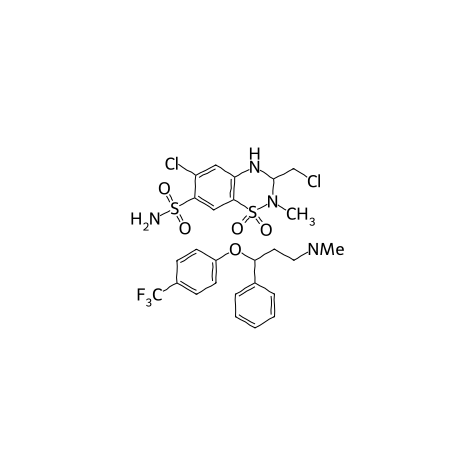 CN1C(CCl)Nc2cc(Cl)c(S(N)(=O)=O)cc2S1(=O)=O.CNCCC(Oc1ccc(C(F)(F)F)cc1)c1ccccc1